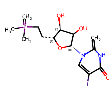 C=C1NC(=O)C(I)=CN1[C@@H]1O[C@H](CCP(=C)(C)C)[C@@H](O)C1O